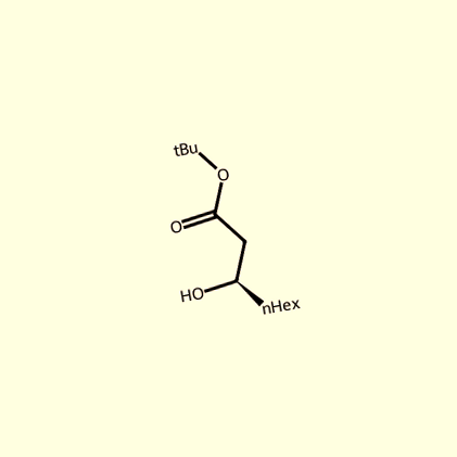 CCCCCC[C@@H](O)CC(=O)OC(C)(C)C